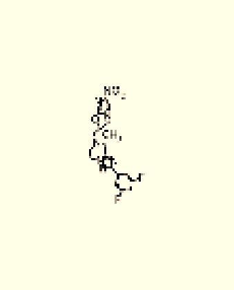 C[C@]1(CN2CCn3nc(-c4cc(F)cc(F)c4)nc3C2)Cn2cc([N+](=O)[O-])nc2O1